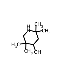 CC1(C)CC(O)C(C)(C)CN1